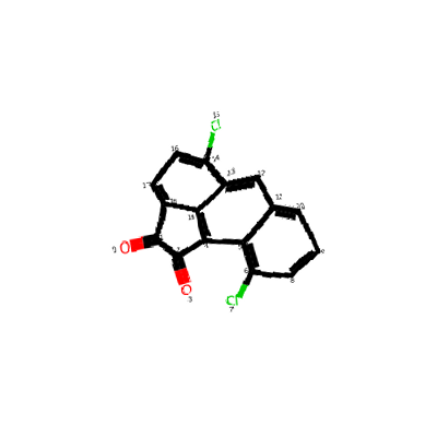 O=C1C(=O)c2c3c(Cl)cccc3cc3c(Cl)ccc1c23